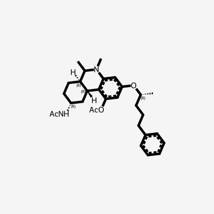 CC(=O)N[C@@H]1CC[C@H]2C(C)N(C)c3cc(O[C@H](C)CCCc4ccccc4)cc(OC(C)=O)c3[C@@H]2C1